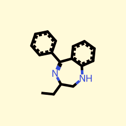 CCC1CNc2ccccc2C(c2ccccc2)=N1